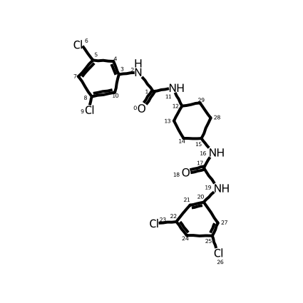 O=C(Nc1cc(Cl)cc(Cl)c1)NC1CCC(NC(=O)Nc2cc(Cl)cc(Cl)c2)CC1